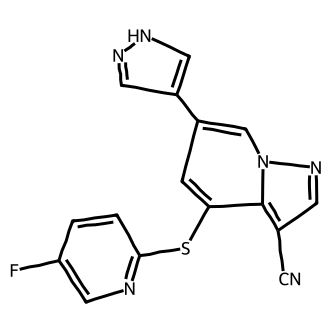 N#Cc1cnn2cc(-c3cn[nH]c3)cc(Sc3ccc(F)cn3)c12